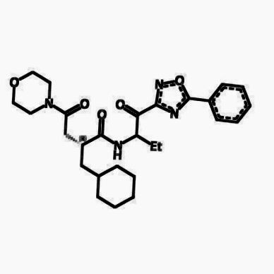 CCC(NC(=O)[C@@H](CC(=O)N1CCOCC1)CC1CCCCC1)C(=O)c1noc(-c2ccccc2)n1